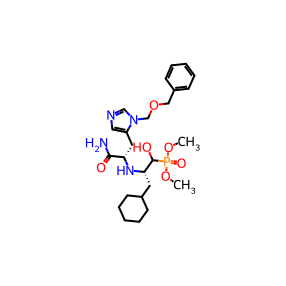 COP(=O)(OC)C(O)[C@H](CC1CCCCC1)N[C@@H](Cc1cncn1COCc1ccccc1)C(N)=O